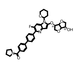 O=C(c1ccc(-c2ccc(-c3nc4cc(O[C@@H]5COC6C5OC[C@H]6O)n(C5CCCCO5)c4cc3F)cc2)cc1)N1CCCC1